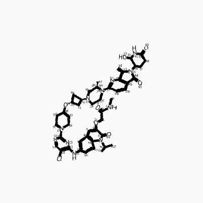 CNC(=O)COc1cc2cc(Nc3nc(N4CCC(O[C@H]5C[C@H](N6CCN(c7ccc8c(n7)C(C)N(C7CCC(=O)NC7O)C8=O)[C@H](C)C6)C5)CC4)ncc3Cl)ccc2n(C(C)C)c1=O